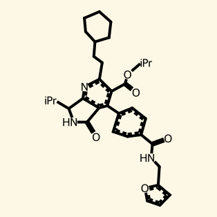 CC(C)OC(=O)c1c(CCC2CCCCC2)nc2c(c1-c1ccc(C(=O)NCc3ccco3)cc1)C(=O)NC2C(C)C